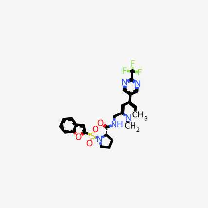 C=N/C(=C\C(=C/C)c1cnc(C(F)(F)F)nc1)CNC(=O)[C@@H]1CCCN1S(=O)(=O)c1cc2ccccc2o1